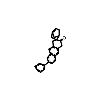 O=C1Cc2cc3ccc(-c4ccccc4)cc3cc2CC12CC1=CCC2C1